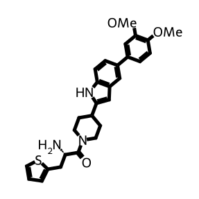 COc1ccc(-c2ccc3[nH]c(C4CCN(C(=O)[C@@H](N)Cc5cccs5)CC4)cc3c2)cc1OC